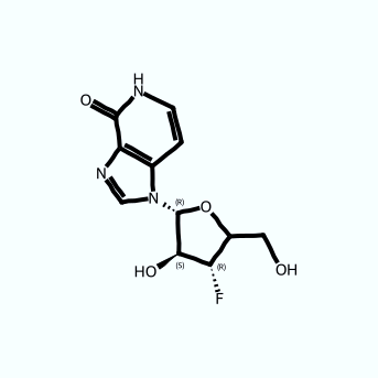 O=c1[nH]ccc2c1ncn2[C@@H]1OC(CO)[C@H](F)[C@H]1O